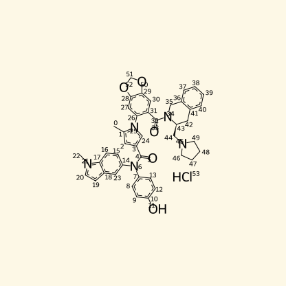 Cc1cc(C(=O)N(c2ccc(O)cc2)c2ccc3c(ccn3C)c2)cn1-c1cc2c(cc1C(=O)N1Cc3ccccc3C[C@H]1CN1CCCC1)OCO2.Cl